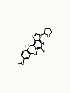 COc1ccc(Nc2nc(F)nc3c2ncn3C2CCCO2)c(Cl)c1